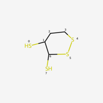 SC1CCSSC1S